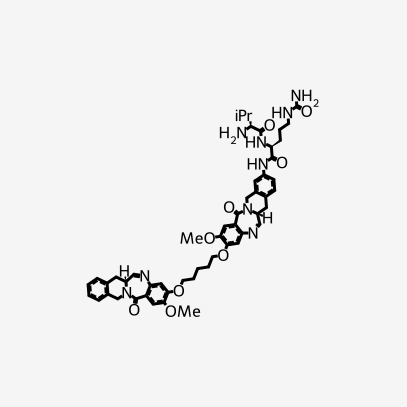 COc1cc2c(cc1OCCCCCOc1cc3c(cc1OC)C(=O)N1Cc4cc(NC(=O)[C@H](CCCNC(N)=O)NC(=O)[C@@H](N)C(C)C)ccc4C[C@@H]1C=N3)N=C[C@@H]1Cc3ccccc3CN1C2=O